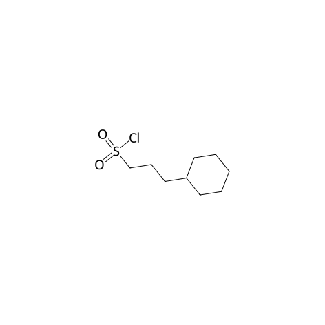 O=S(=O)(Cl)CCCC1CCCCC1